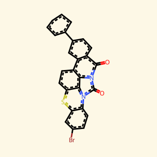 O=c1c2ccc(-c3ccccc3)cc2c2ccc3sc4cc(Br)ccc4n4c(=O)n1c2c34